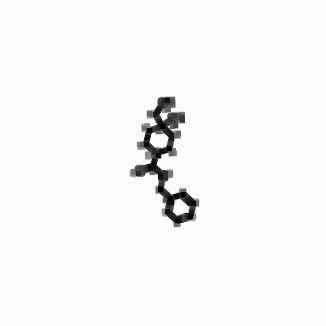 O=C(OCc1ccccc1)N1CCC(O)(CO)CC1